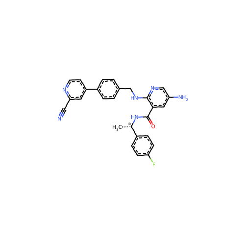 C[C@H](NC(=O)c1cc(N)cnc1NCc1ccc(-c2ccnc(C#N)c2)cc1)c1ccc(F)cc1